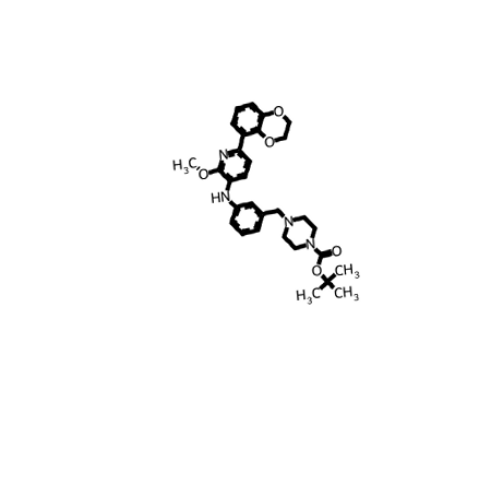 COc1nc(-c2cccc3c2OCCO3)ccc1Nc1cccc(CN2CCN(C(=O)OC(C)(C)C)CC2)c1